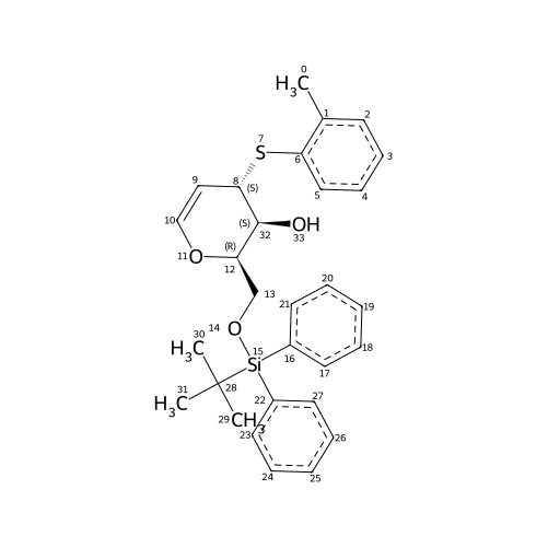 Cc1ccccc1S[C@H]1C=CO[C@H](CO[Si](c2ccccc2)(c2ccccc2)C(C)(C)C)[C@@H]1O